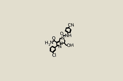 N#Cc1ccc(NC(=O)N2Cc3c(C(N)=O)c(-c4cccc(Cl)c4)nn3C(CO)C2)cc1